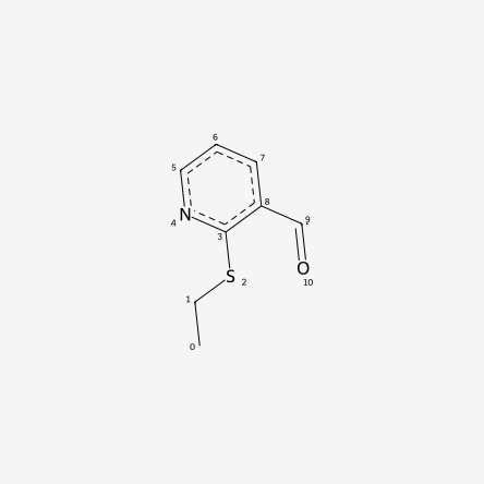 CCSc1ncccc1[C]=O